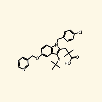 CC(C)(C)Sc1c(CC(C)(C)C(=O)O)n(Cc2ccc(Cl)cc2)c2ccc(OCc3cccnc3)cc12